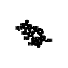 NC(=O)c1ccc[n+]([C@@H]2O[C@H](CO)[C@@H](OP(=O)([O-])OP(=O)(O)OC[C@H]3O[C@@H](n4cnc5c(=O)[nH]c(N)nc54)[C@H](O)[C@@H]3O)[C@H]2O)c1